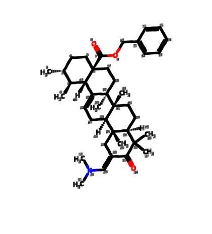 C[C@H]1[C@H](C)CC[C@]2(C(=O)OCc3ccccc3)CC[C@]3(C)C(=CC[C@@H]4[C@@]5(C)CC(=CN(C)C)C(=O)C(C)(C)[C@@H]5CC[C@]43C)[C@H]12